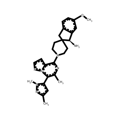 COc1ccc2c(c1)[C@@H](N)C1(CCN(c3nc(C)c(-c4cc(C)nn4C)n4nccc34)CC1)C2